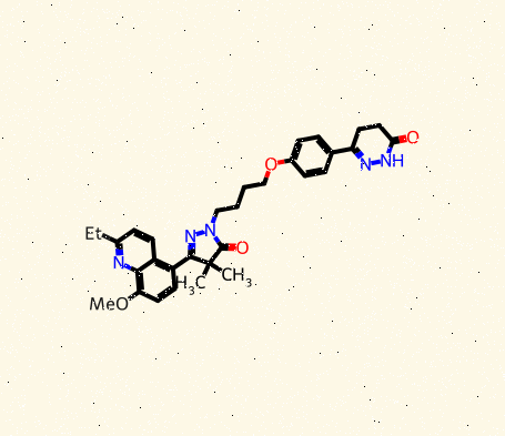 CCc1ccc2c(C3=NN(CCCCOc4ccc(C5=NNC(=O)CC5)cc4)C(=O)C3(C)C)ccc(OC)c2n1